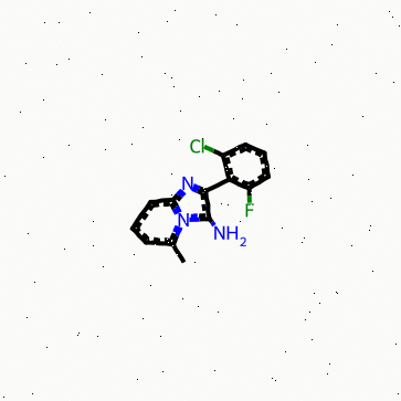 Cc1cccc2nc(-c3c(F)cccc3Cl)c(N)n12